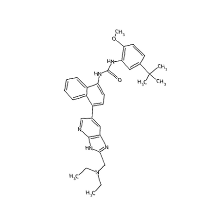 CCN(CC)Cc1nc2cc(-c3ccc(NC(=O)Nc4cc(C(C)(C)C)ccc4OC)c4ccccc34)cnc2[nH]1